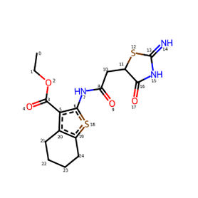 CCOC(=O)c1c(NC(=O)CC2SC(=N)NC2=O)sc2c1CCCC2